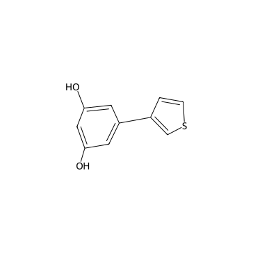 Oc1cc(O)cc(-c2ccsc2)c1